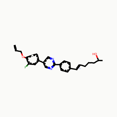 C=CCOc1ccc(-c2cnc(-c3ccc(/C=C/CCCC(C)O)cc3)nc2)cc1F